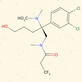 CN(C[C@](CCCO)(c1ccc(Cl)c(Cl)c1)N(C)C(=O)O)C(=O)CC(F)(F)F